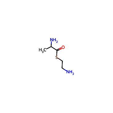 CC(N)C(=O)SCCN